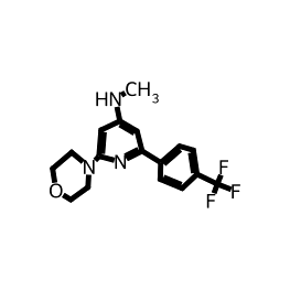 CNc1cc(-c2ccc(C(F)(F)F)cc2)nc(N2CCOCC2)c1